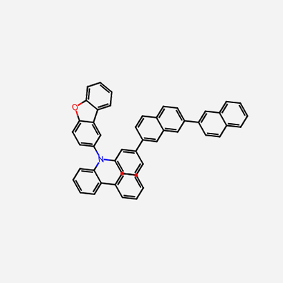 c1ccc(-c2ccccc2N(c2cccc(-c3ccc4ccc(-c5ccc6ccccc6c5)cc4c3)c2)c2ccc3oc4ccccc4c3c2)cc1